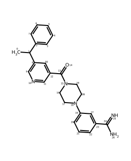 CC(c1ccccc1)c1cncc(C(=O)N2CCN(c3cccc(C(=N)N)c3)CC2)c1